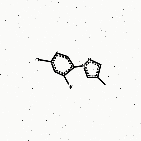 Cc1cnn(-c2ccc(Cl)cc2Br)c1